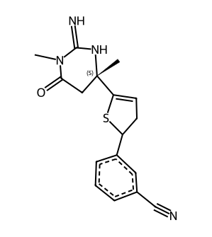 CN1C(=N)N[C@](C)(C2=CCC(c3cccc(C#N)c3)S2)CC1=O